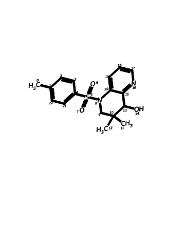 Cc1ccc(S(=O)(=O)N2CC(C)(C)C(O)c3ncccc32)cc1